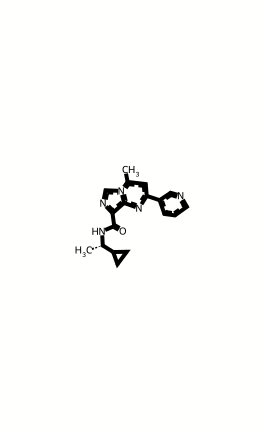 Cc1cc(-c2cccnc2)nc2c(C(=O)N[C@@H](C)C3CC3)ncn12